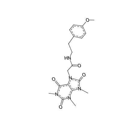 COc1ccc(CCNC(=O)Cn2c(=O)n(C)c3c2c(=O)n(C)c(=O)n3C)cc1